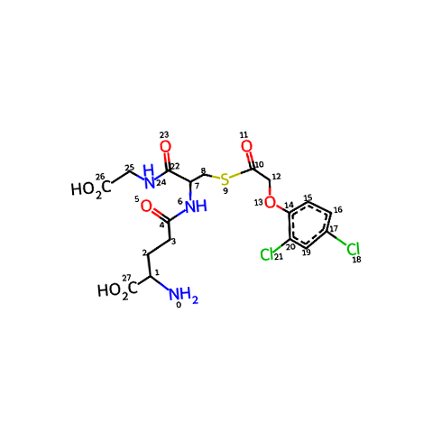 NC(CCC(=O)NC(CSC(=O)COc1ccc(Cl)cc1Cl)C(=O)NCC(=O)O)C(=O)O